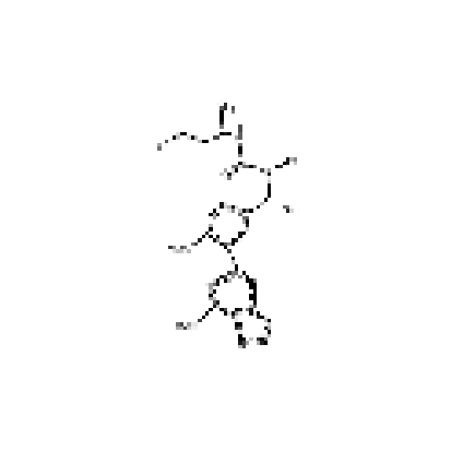 CCN(C(=O)N[C@@H](CCC(F)(F)F)C(F)(F)F)[C@@H](c1cc(-c2cn3ccnc3c(OC)n2)c(OC)cn1)C(F)(F)F